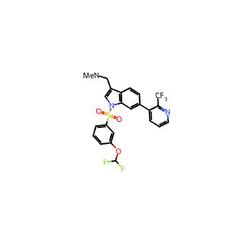 CNCc1cn(S(=O)(=O)c2cccc(OC(F)F)c2)c2cc(-c3cccnc3C(F)(F)F)ccc12